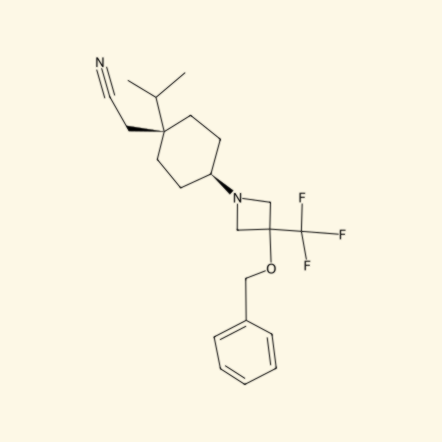 CC(C)[C@]1(CC#N)CC[C@@H](N2CC(OCc3ccccc3)(C(F)(F)F)C2)CC1